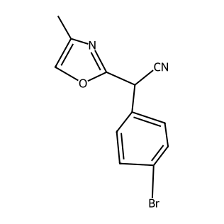 Cc1coc(C(C#N)c2ccc(Br)cc2)n1